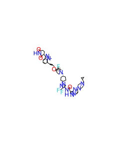 Cn1nc(C2CCC(=O)NC2=O)c2cccc(C#CCO[C@@H]3CCN(C[C@H]4CC[C@H](n5cc(NC(=O)c6cnn7ccc(N8CCN(CC9CC9)CC8)nc67)c(C(F)F)n5)CC4)C[C@@H]3F)c21